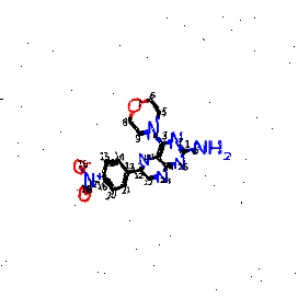 Nc1nc(N2CCOCC2)c2nc(-c3ccc([N+](=O)[O-])cc3)cnc2n1